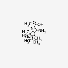 CCN1C2=C(C[N+](C(=O)[O-])(C(C)(C)C)C2(C)C)C(N)N1C(=O)O